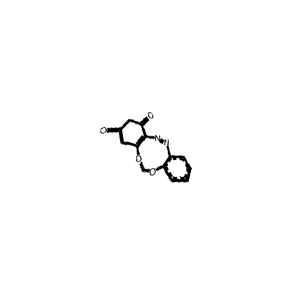 O=C1CC(=O)C2=C(C1)OCOc1ccccc1N=N2